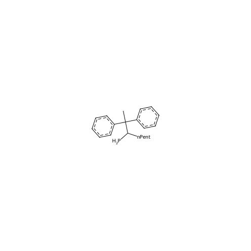 CCCCCC(P)C(C)(c1ccccc1)c1ccccc1